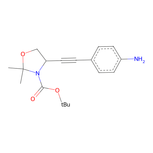 CC(C)(C)OC(=O)N1C(C#Cc2ccc(N)cc2)COC1(C)C